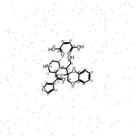 CC1(C(CO)N2CCNCC2C(=O)c2ccoc2)COc2ccccc2O1.O=C(O)/C=C\C(=O)O